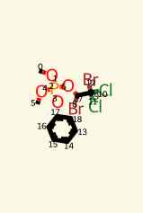 COP(=O)(OC)OC(Br)C(Cl)(Cl)Br.c1ccccc1